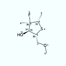 COC[C@H]1S[C@@H](C)[C@](C)(F)[C@@H]1O